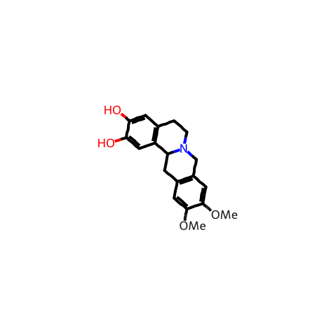 COc1cc2c(cc1OC)CN1CCc3cc(O)c(O)cc3C1C2